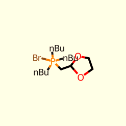 CCCCP(Br)(CCCC)(CCCC)CC1OCCO1